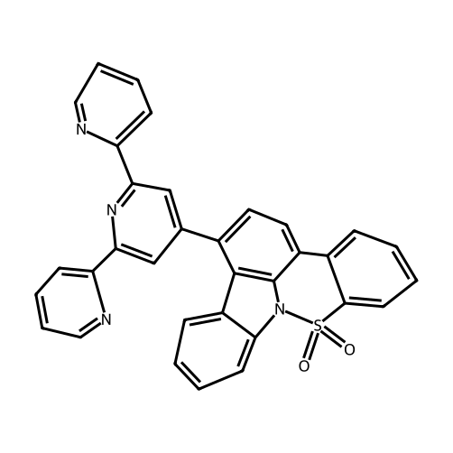 O=S1(=O)c2ccccc2-c2ccc(-c3cc(-c4ccccn4)nc(-c4ccccn4)c3)c3c4ccccc4n1c23